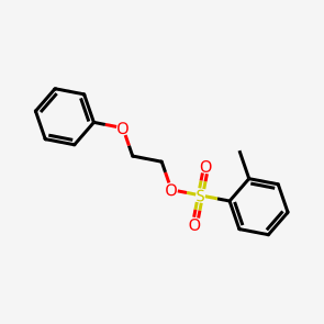 Cc1ccccc1S(=O)(=O)OCCOc1ccccc1